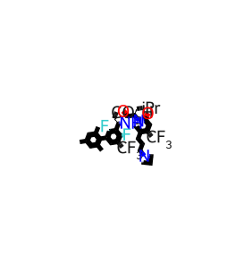 Cc1cc(C)c(-c2cc(C(F)(F)F)c(F)c([C@H](CC(=O)O)NC(=O)[C@H](CC(C)C)n3cc(CCCN4CCC4)c(C(F)(F)F)cc3=O)c2F)c(C)c1